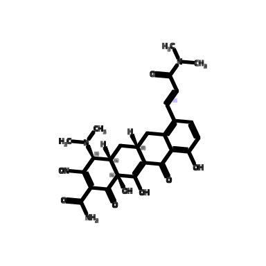 CN(C)C(=O)/C=C/c1ccc(O)c2c1C[C@H]1C[C@H]3[C@H](N(C)C)C(N=O)=C(C(N)=O)C(=O)[C@@]3(O)C(O)=C1C2=O